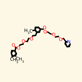 Cc1ccc(C(=O)OCCOCCOCCc2cc(C(=O)OCCOCCOCc3ccccn3)ccc2C)cc1C